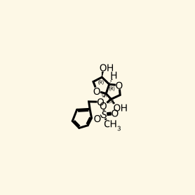 CS(=O)(=O)O[C@@]1(O)CO[C@@H]2[C@H](O)CO[C@@]21OCc1ccccc1